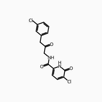 O=C(CNC(=O)c1ccc(Cl)c(=O)[nH]1)Cc1cccc(Cl)c1